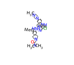 COc1cc2c(cc1Nc1ncc(Cl)c(Nc3ccc(N4CCN(C)CC4)cc3OC)n1)CCN(CC(=O)N(C)C)CC2